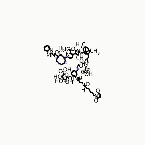 C=C1/C=C(c2ccc(-c3cnn(CC45CC6(C)CC(C)(CC(CCCN(CCS(=O)(=O)O)C(=O)OC/C=C/c7ccc(O[C@@H]8O[C@H](C(=O)O)[C@@H](O)[C@H](O)[C@H]8O)c(NC(=O)CCNC(=O)CCCCCN8C(=O)C=CC8=O)c7)(C6)C4)C5)c3C)c(C(=O)O)n2)\C=C/C/C=C\C=C/1C(=O)Nc1nc2ccccc2s1